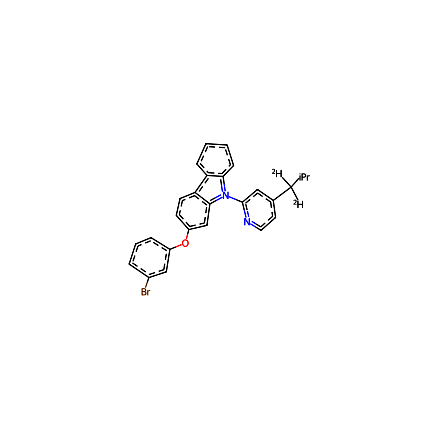 [2H]C([2H])(c1ccnc(-n2c3ccccc3c3ccc(Oc4cccc(Br)c4)cc32)c1)C(C)C